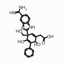 N=C(N)c1ccc2[nH]c(C3(CO)C=C(CC(=O)O)C(O)C(c4ccccc4)=C3O)nc2c1